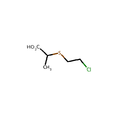 CC(SCCCl)C(=O)O